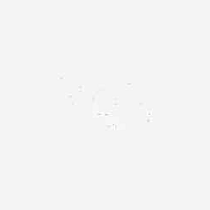 CC(=O)Nc1ccc(/C(Cl)=C2\C(=O)N(C(C)=O)c3ccccc32)cc1[N+](=O)[O-]